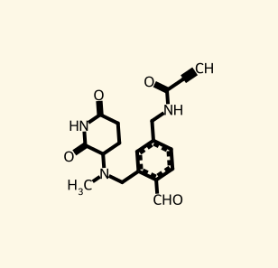 C#CC(=O)NCc1ccc(C=O)c(CN(C)C2CCC(=O)NC2=O)c1